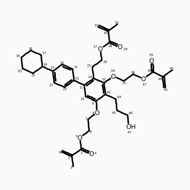 C=C(C)C(=O)OCCOc1cc(-c2ccc(C3CCCCC3)cc2)c(CCOC(=O)C(=C)C)c(OCCOC(=O)C(=C)C)c1CCCO